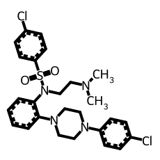 CN(C)CCN(c1ccccc1N1CCN(c2ccc(Cl)cc2)CC1)S(=O)(=O)c1ccc(Cl)cc1